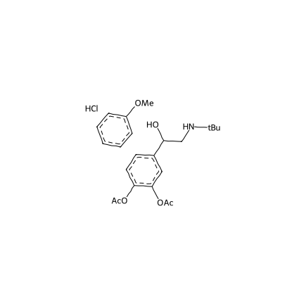 CC(=O)Oc1ccc(C(O)CNC(C)(C)C)cc1OC(C)=O.COc1ccccc1.Cl